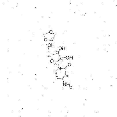 C1COCO1.Nc1ccn([C@@H]2O[C@H](CO)[C@@H](O)[C@H]2O)c(=O)n1